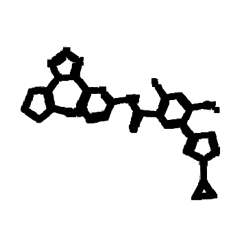 CC(=O)OC1=C(n2nnnc2-c2cccc(NC(=O)c3cc(-c4cnn(C5CC5)c4)c(C)cc3F)n2)CCC1